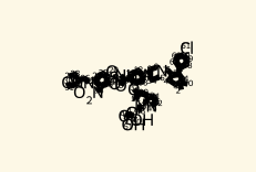 CC1(C)CCC(CN2CCN(c3ccc(C(=O)NS(=O)(=O)c4ccc(NCC5CCOCC5)c([N+](=O)[O-])c4)c(Oc4cc5ccnc-5n(COP(=O)(O)O)c4)c3)CC2)=C(c2ccc(Cl)cc2)C1